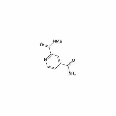 CNC(=O)c1cc(C(N)=O)ccn1